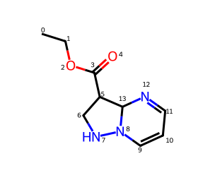 CCOC(=O)C1CNN2C=CC=NC12